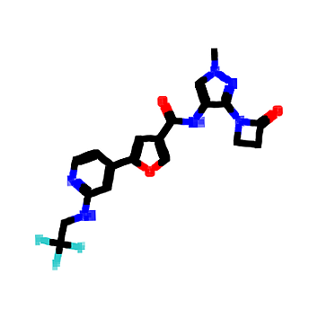 Cn1cc(NC(=O)c2coc(-c3ccnc(NCC(F)(F)F)c3)c2)c(N2CCC2=O)n1